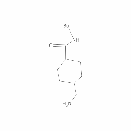 CCCCNC(=O)C1CCC(CN)CC1